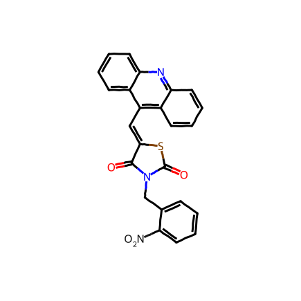 O=C1SC(=Cc2c3ccccc3nc3ccccc23)C(=O)N1Cc1ccccc1[N+](=O)[O-]